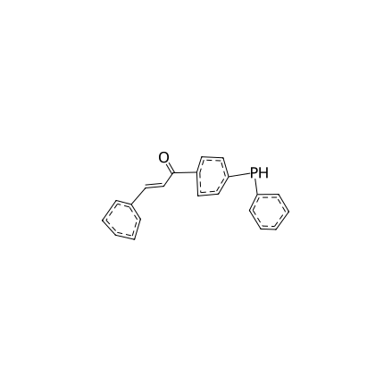 O=C(C=Cc1ccccc1)c1ccc(Pc2ccccc2)cc1